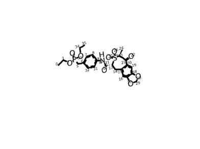 CCOP(=O)(Cc1ccc(NC(=O)[C@H]2Cc3cc4c(cc3C(=O)[C@H](C)S2(=O)=O)OCO4)cc1)OCC